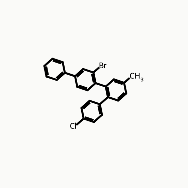 Cc1ccc(-c2ccc(Cl)cc2)c(-c2ccc(-c3ccccc3)cc2Br)c1